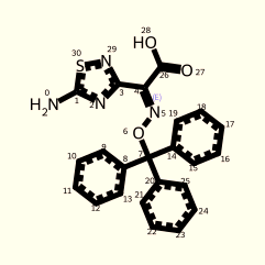 Nc1nc(/C(=N\OC(c2ccccc2)(c2ccccc2)c2ccccc2)C(=O)O)ns1